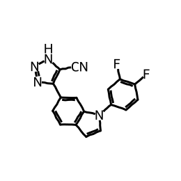 N#Cc1[nH]nnc1-c1ccc2ccn(-c3ccc(F)c(F)c3)c2c1